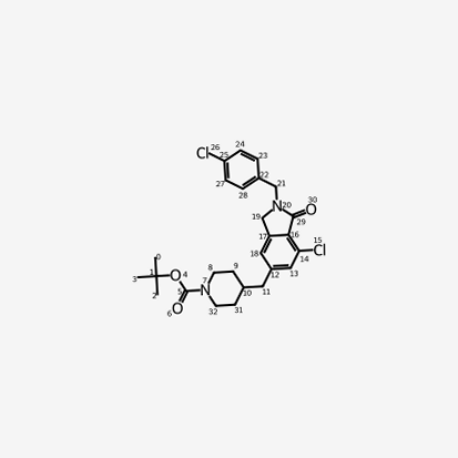 CC(C)(C)OC(=O)N1CCC(Cc2cc(Cl)c3c(c2)CN(Cc2ccc(Cl)cc2)C3=O)CC1